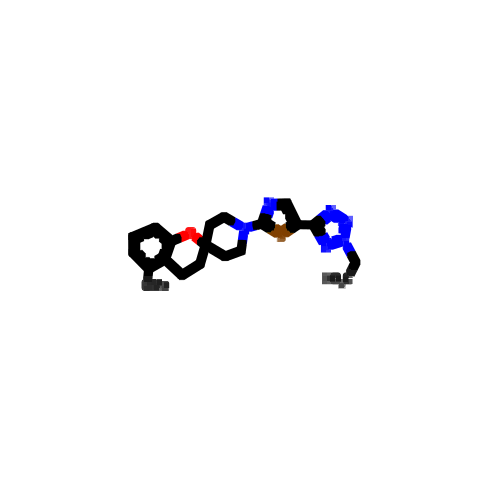 COc1cccc2c1CCC1(CCN(c3ncc(-c4nnn(CC(=O)O)n4)s3)CC1)O2